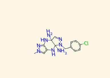 Cn1cc2c(n1)NC1(N)C=NN(Cc3ccc(Cl)cc3)C1(N)N2